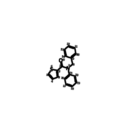 O=C(c1cccs1)N(Cc1ccccc1)c1ccccc1